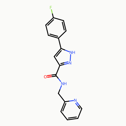 O=C(NCc1ccccn1)c1cc(-c2ccc(F)cc2)[nH]n1